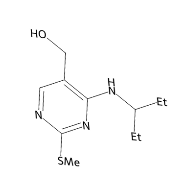 CCC(CC)Nc1nc(SC)ncc1CO